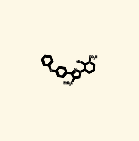 CCOC(=O)c1cn(C2CCCN(C(=O)O)C2C(C)(C)C)nc1-c1ccc(Oc2ccccc2)cc1